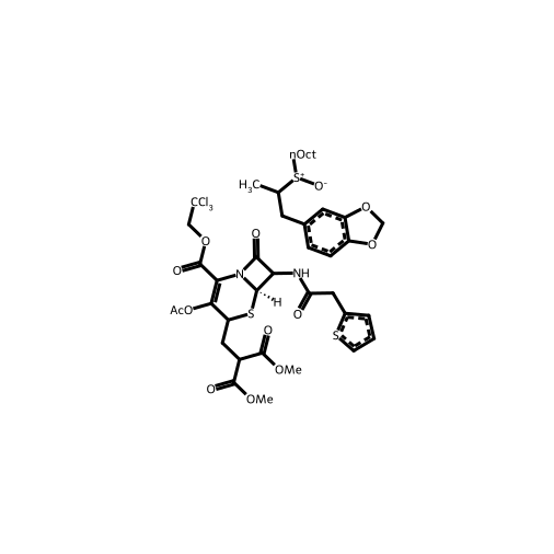 CCCCCCCC[S+]([O-])C(C)Cc1ccc2c(c1)OCO2.COC(=O)C(CC1S[C@@H]2C(NC(=O)Cc3cccs3)C(=O)N2C(C(=O)OCC(Cl)(Cl)Cl)=C1OC(C)=O)C(=O)OC